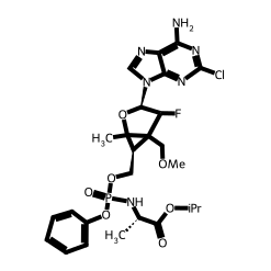 COCC12C(F)[C@H](n3cnc4c(N)nc(Cl)nc43)OC1(C)[C@@H]2COP(=O)(N[C@@H](C)C(=O)OC(C)C)Oc1ccccc1